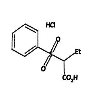 CCC(C(=O)O)S(=O)(=O)c1ccccc1.Cl